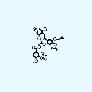 COc1ccc(C(=O)OCC(=O)OC(Cc2c(Cl)c[n+]([O-])cc2Cl)c2ccc(OC(F)F)c(OCC3CC3)c2)cc1OS(C)(=O)=O